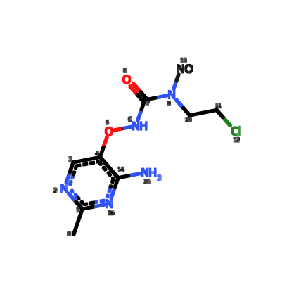 Cc1ncc(ONC(=O)N(CCCl)N=O)c(N)n1